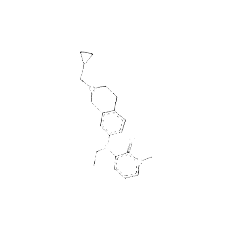 CCN(c1ccc2c(c1)CN(CC1CC1)CC2)c1cccn(C)c1=O